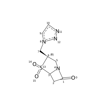 O=C1CC2N1C[C@H](Cn1ccnn1)S2(=O)=O